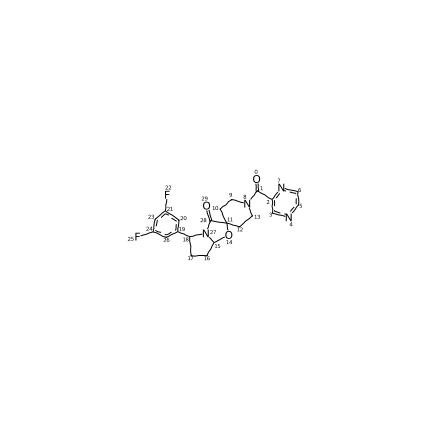 O=C(c1cnccn1)N1CCC2(CC1)OC1CCC(c3cc(F)cc(F)c3)N1C2=O